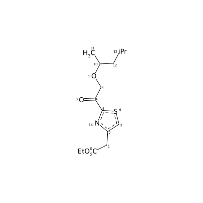 CCOC(=O)Cc1csc(C(=O)COC(C)CC(C)C)n1